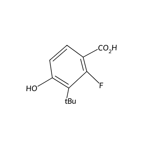 CC(C)(C)c1c(O)ccc(C(=O)O)c1F